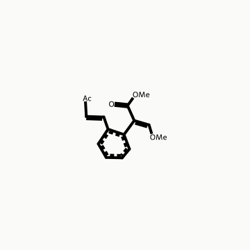 CO/C=C(/C(=O)OC)c1ccccc1/C=C/C(C)=O